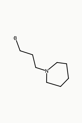 [B]CCCN1CCCCC1